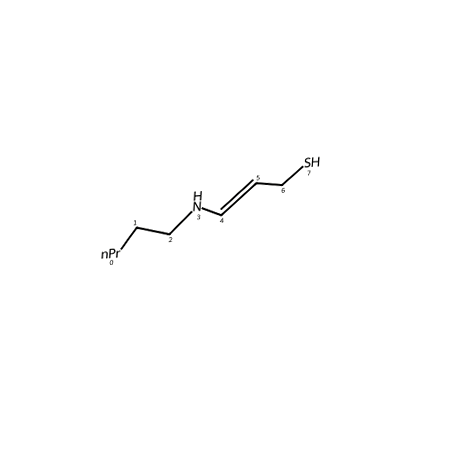 CCCCCNC=CCS